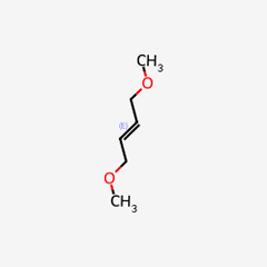 COC/C=C/COC